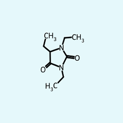 CCC1C(=O)N(CC)C(=O)N1CC